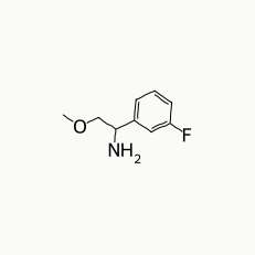 COCC(N)c1cccc(F)c1